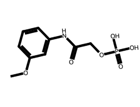 COc1cccc(NC(=O)COP(=O)(O)O)c1